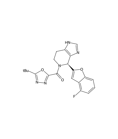 CC(C)(C)c1nnc(C(=O)N2CCc3[nH]cnc3[C@H]2c2cc3c(F)cccc3o2)o1